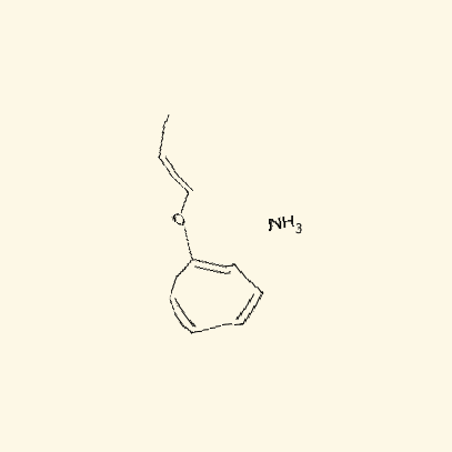 CC=COc1ccccc1.N